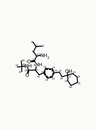 CC(C)CC(N)C(=O)NC(Cc1ccc(CCC2(O)CCCCC2)cc1)C(=O)NC(C)(C)C